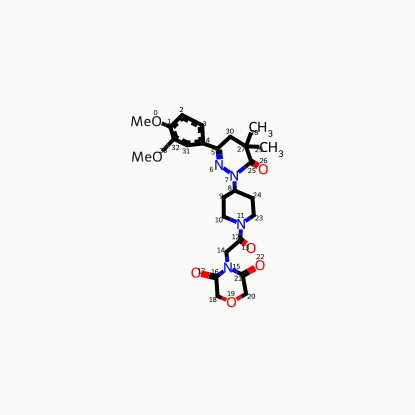 COc1ccc(C2=NN(C3CCN(C(=O)CN4C(=O)COCC4=O)CC3)C(=O)C(C)(C)C2)cc1OC